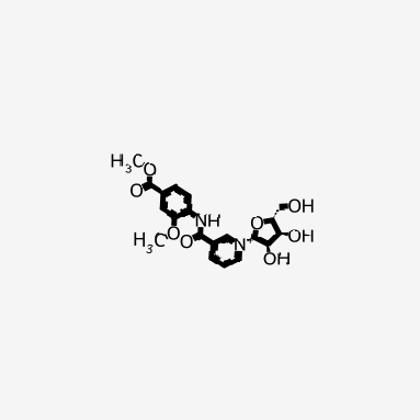 COC(=O)c1ccc(NC(=O)c2ccc[n+]([C@@H]3O[C@H](CO)[C@@H](O)[C@H]3O)c2)c(OC)c1